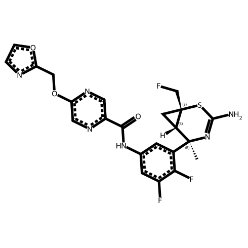 C[C@@]1(c2cc(NC(=O)c3cnc(OCc4ncco4)cn3)cc(F)c2F)N=C(N)S[C@@]2(CF)C[C@H]21